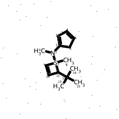 CN(C1=CC=CC1)S1(C)C=CC1C(C)(C)C